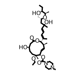 CCO[C@]1(C)CC[C@@H](O)CC(=O)O[C@H](/C(C)=C/C=C/C(C)(O)C[C@H](C)O[C@H](C)[C@@H](O)CC)[C@@H](C)/C=C/[C@@H]1OC(=O)N1CCN(C)CC1